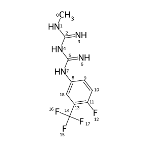 CNC(=N)NC(=N)Nc1ccc(F)c(C(F)(F)F)c1